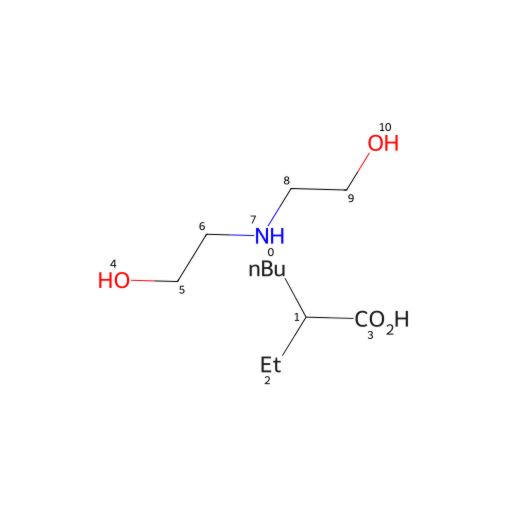 CCCCC(CC)C(=O)O.OCCNCCO